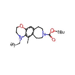 Cc1c2c(cc3c1N(CC(C)C)CCO3)CCN(C(=O)OC(C)(C)C)CC2